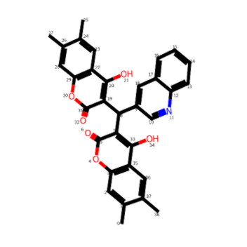 Cc1cc2oc(=O)c(C(c3cnc4ccccc4c3)c3c(O)c4cc(C)c(C)cc4oc3=O)c(O)c2cc1C